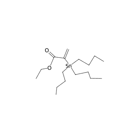 C=[C](C(=O)OCC)[Sn]([CH2]CCC)([CH2]CCC)[CH2]CCC